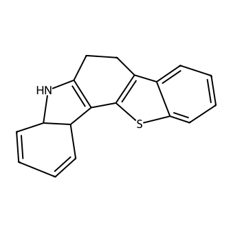 C1=CC2NC3=C(c4sc5ccccc5c4CC3)C2C=C1